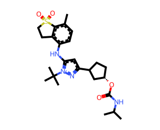 Cc1ccc(Nc2cc(C3CC[C@H](OC(=O)NC(C)C)C3)nn2C(C)(C)C)c2c1S(=O)(=O)CC2